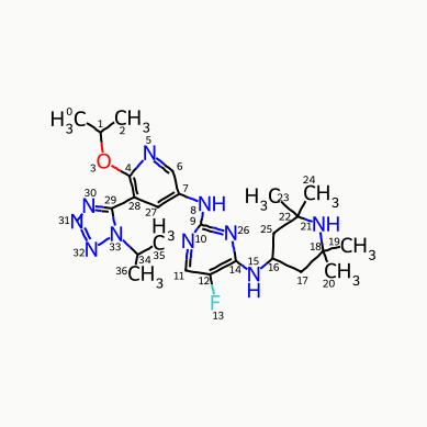 CC(C)Oc1ncc(Nc2ncc(F)c(NC3CC(C)(C)NC(C)(C)C3)n2)cc1-c1nnnn1C(C)C